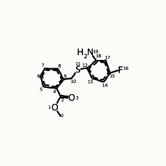 COC(=O)c1ccccc1CSc1ccc(F)cc1N